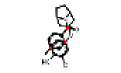 Cc1ccc(C(=O)N2C3CCC2CC(Oc2ccc(C#N)c(Cl)c2)C3)cc1